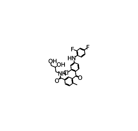 Cc1ccc(C(=O)NCC(O)CO)cc1C(=O)c1ccc(Nc2ccc(F)cc2F)cc1Cl